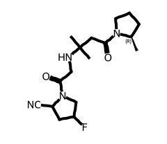 C[C@@H]1CCCN1C(=O)CC(C)(C)NCC(=O)N1CC(F)CC1C#N